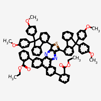 CCOC(=O)c1ccccc1-c1ccc2c3ccc(-c4ccccc4C(=O)OCC)cc3c3nc4c(-c5cccc6c5-c5ccccc5C6(c5ccc(OC)cc5)c5ccc(OC)cc5)sc(-c5cccc6c5-c5ccccc5C6(c5ccc(OC)cc5)c5ccc(OC)cc5)c4nc3c2c1